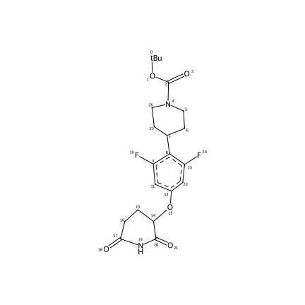 CC(C)(C)OC(=O)N1CCC(c2c(F)cc(OC3CCC(=O)NC3=O)cc2F)CC1